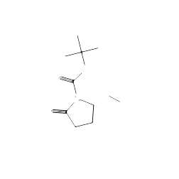 C[C@H]1C[C@@H](CO)N(C(=O)OC(C)(C)C)C1=O